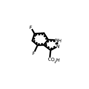 O=C(O)c1n[nH]c2cc(F)cc(F)c12